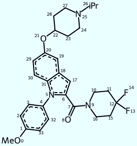 COc1ccc(-n2c(C(=O)N3CCC(F)(F)CC3)cc3cc(OC4CCN(C(C)C)CC4)ccc32)cc1